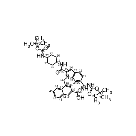 CC(C)(C)OC(=O)NC(=N)c1ccc2cc(C(=O)N[C@H]3CC[C@H](NC(=O)OC(C)(C)C)CC3)n(Cc3cc(C(=O)O)cc4ccccc34)c2c1